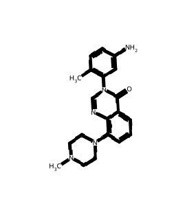 Cc1ccc(N)cc1-n1cnc2c(N3CCN(C)CC3)cccc2c1=O